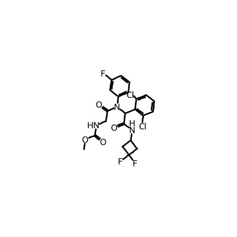 COC(=O)NCC(=O)N(c1cccc(F)c1)C(C(=O)NC1CC(F)(F)C1)c1c(Cl)cccc1Cl